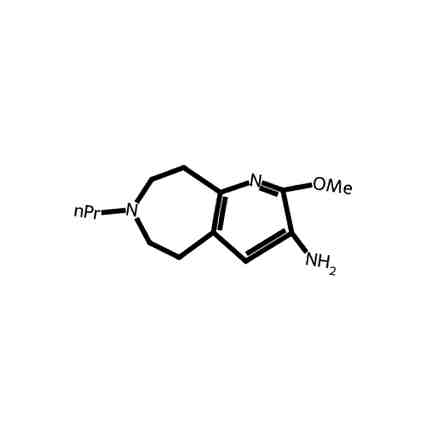 CCCN1CCc2cc(N)c(OC)nc2CC1